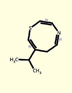 CC(C)/C1=C/S/C=C\N=C/C1